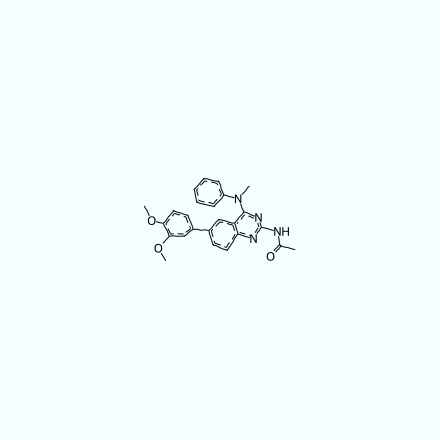 COc1ccc(-c2ccc3nc(NC(C)=O)nc(N(C)c4ccccc4)c3c2)cc1OC